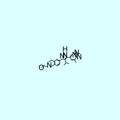 COCCN1CCc2cc(-c3n[nH]c(-c4cc(C)c5ncnn5c4)c3C(C)C)ccc2C1